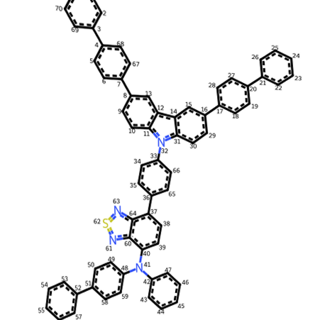 c1ccc(-c2ccc(-c3ccc4c(c3)c3cc(-c5ccc(-c6ccccc6)cc5)ccc3n4-c3ccc(-c4ccc(N(c5ccccc5)c5ccc(-c6ccccc6)cc5)c5nsnc45)cc3)cc2)cc1